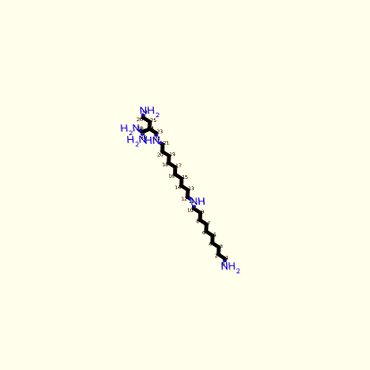 NCCCCCCCCCCNCCCCCCCCCCNCC(CCN)C(N)N